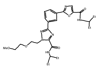 CCC(CC)NC(=O)c1cnc(-c2cccc(-c3nc(C(=O)NC(CC)CC)n(CCOCCOC)n3)c2)o1